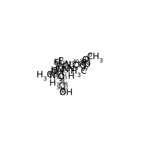 CCOP(=O)(Cc1ccc(Nc2ncc(C(F)(F)F)c(Nc3ccc([C@H]4CC[C@@H](O)CC4)cc3C(=O)NC)n2)cc1)OCC